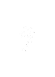 C[C@@H]1CNCCN1c1ccc2nc(-c3cc(Cl)ccc3F)n(-c3ccncc3)c2n1